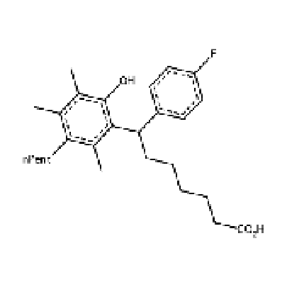 CCCCCc1c(C)c(C)c(O)c(C(CCCCCC(=O)O)c2ccc(F)cc2)c1C